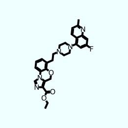 CCOC(=O)c1ncn2c1COc1c(CCN3CCN(c4cc(F)cc5nc(C)ccc45)CC3)cccc1-2